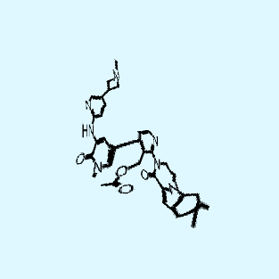 CC(=O)OCc1c(-c2cc(Nc3ccc(C4CN(C)C4)cn3)c(=O)n(C)c2)ccnc1N1CCn2c(cc3c2CC(C)(C)C3)C1=O